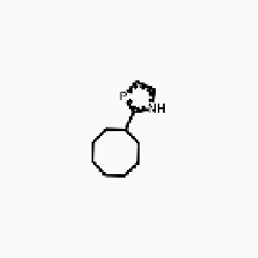 c1cpc(C2CCCCCCC2)[nH]1